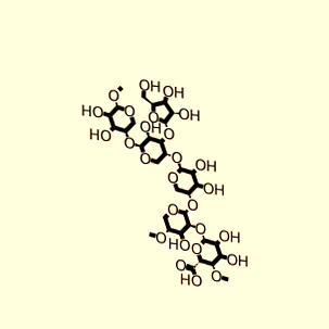 CO[C@@H]1OC[C@@H](O[C@@H]2OC[C@@H](O[C@@H]3OC[C@@H](O[C@@H]4OC[C@@H](OC)C(O)[C@@H]4O[C@H]4O[C@@H](C(=O)O)[C@@H](OC)C(O)C4O)C(O)C3O)C(O[C@@H]3O[C@@H](CO)C(O)[C@@H]3O)[C@@H]2O)C(O)C1O